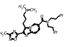 Cc1noc(-c2nc3ccc(C(=O)N(CCC(C)C)CCC(C)C)cn3c2CCCN(C)C)n1